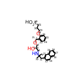 C[C@@H](OC[C@H](O)CNC(C)(C)Cc1ccc2ccccc2c1)c1ccccc1OCCCC(=O)O